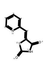 O=C1NC(=O)C(=Cc2ccccn2)S1